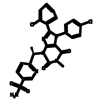 C[C@@H](c1ccc(S(N)(=O)=O)cn1)n1c(=O)n(C)c(=O)c2c1nc(-c1ccccc1Cl)n2-c1ccc(Cl)cc1